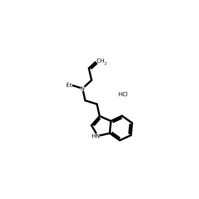 C=CCN(CC)CCc1c[nH]c2ccccc12.Cl